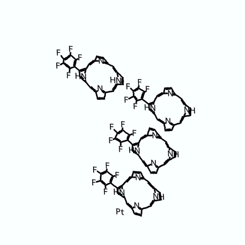 Fc1c(F)c(F)c(-c2cc3cc4nc(cc5ccc(cc6nc(cc2[nH]3)C=C6)[nH]5)C=C4)c(F)c1F.Fc1c(F)c(F)c(-c2cc3cc4nc(cc5ccc(cc6nc(cc2[nH]3)C=C6)[nH]5)C=C4)c(F)c1F.Fc1c(F)c(F)c(-c2cc3cc4nc(cc5ccc(cc6nc(cc2[nH]3)C=C6)[nH]5)C=C4)c(F)c1F.Fc1c(F)c(F)c(-c2cc3cc4nc(cc5ccc(cc6nc(cc2[nH]3)C=C6)[nH]5)C=C4)c(F)c1F.[Pt]